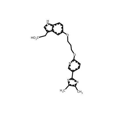 Cc1nc(-c2ccc(OCCCOc3ccc4[nH]cc(CC(=O)O)c4c3)nc2)sc1C